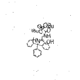 CC(C)COP(=O)(OCC(C)C)C(=O)NC[C@@H](CO)NC(c1ccccc1)(c1ccccc1)c1ccccc1